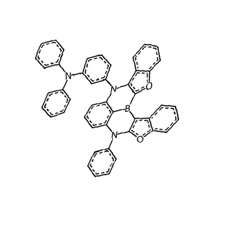 c1ccc(N(c2ccccc2)c2cccc(N3c4cccc5c4B(c4oc6ccccc6c43)c3c(oc4ccccc34)N5c3ccccc3)c2)cc1